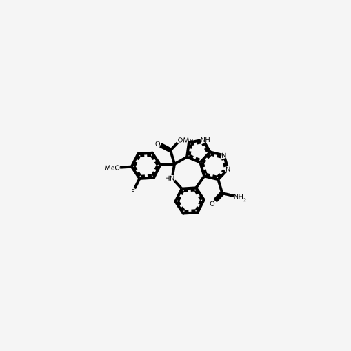 COC(=O)C1(c2ccc(OC)c(F)c2)Nc2ccccc2-c2c(C(N)=O)nnc3[nH]cc1c23